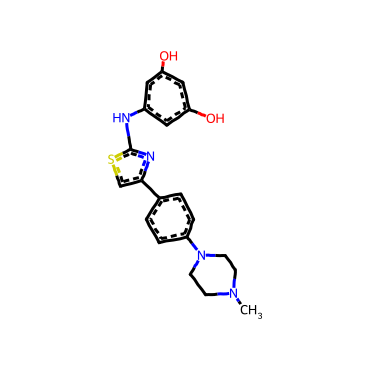 CN1CCN(c2ccc(-c3csc(Nc4cc(O)cc(O)c4)n3)cc2)CC1